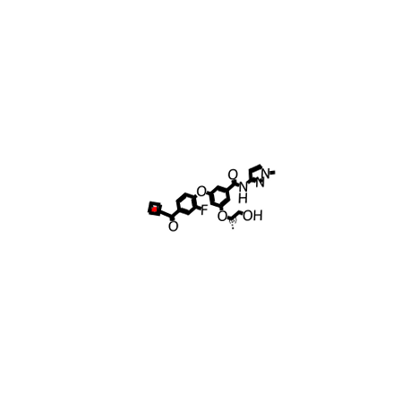 C[C@@H](CO)Oc1cc(Oc2ccc(C(=O)N3CC4CC3C4)cc2F)cc(C(=O)Nc2ccn(C)n2)c1